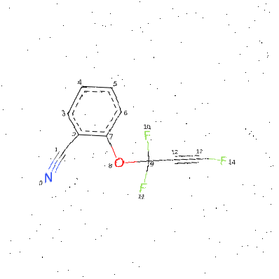 N#Cc1ccccc1OC(F)(F)C#CF